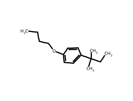 CCCCOc1[c]cc(C(C)(C)CC)cc1